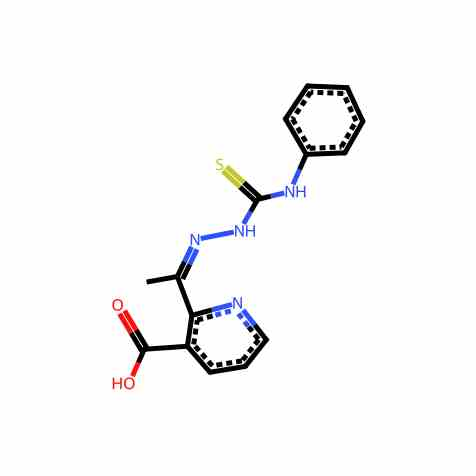 CC(=NNC(=S)Nc1ccccc1)c1ncccc1C(=O)O